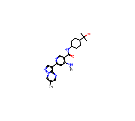 CC(C)Nc1cc(-c2cnn3cc(C#N)cnc23)ncc1C(=O)NC1CCC(C(C)(C)O)CC1